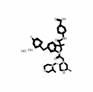 CC1COCCN1C[C@H]1CN[C@H](C)CN1CC(=O)N1CC(C)(C(=O)Nc2ccc(C(=O)O)cc2)c2ccc(Cc3ccc(F)cc3)cc21.Cl.Cl